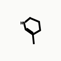 CC1=CN[CH]CC1